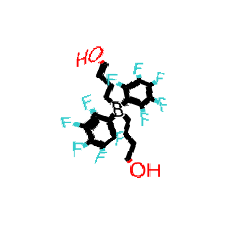 OCCCC[B-](CCCCO)(c1c(F)c(F)c(F)c(F)c1F)c1c(F)c(F)c(F)c(F)c1F